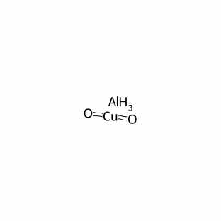 [AlH3].[O]=[Cu]=[O]